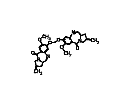 C=C1CC2C=Nc3cc(OCOc4cc5c(cc4OC)C(=O)N4CC(=C)CC4C=N5)c(OC)cc3C(=O)N2C1